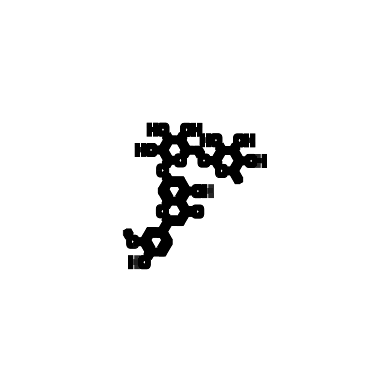 COc1cc(-c2cc(=O)c3c(O)cc(OC4OC(COC5OC(C)C(O)C(O)C5O)C(O)C(O)C4O)cc3o2)ccc1O